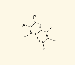 O=[N+]([O-])c1c(O)nc2c(Cl)c(Br)c(Cl)cc2c1O